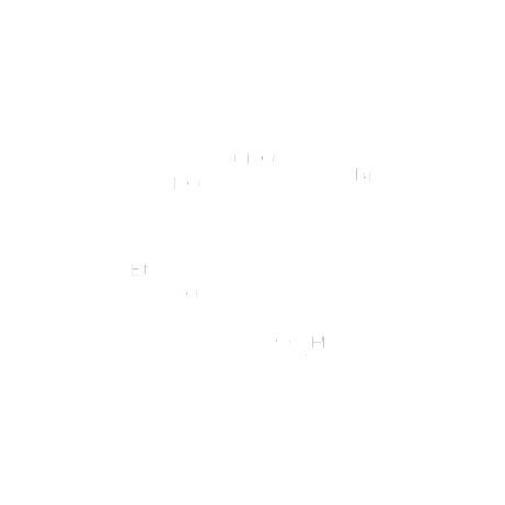 CCOc1ccc(Br)cc1C(=O)O.O=CO